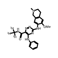 [2H]C([2H])([2H])NC(=O)c1nnc(Nc2cc3c(cc2OC)CCN(C)C3)nc1Nc1ccccc1